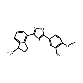 [C-]#[N+]c1cc(-c2nc(-c3cccc4c3CC[C@H]4N)no2)ccc1OC(C)C